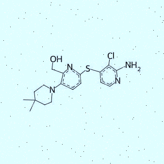 CC1(C)CCN(c2ccc(Sc3ccnc(N)c3Cl)nc2CO)CC1